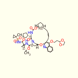 C=C[C@@H]1C[C@]1(NC(=O)[C@@H]1C[C@@H]2CN1C(=O)[C@H](C1CCCC1)NC(=O)O[C@@H]1CCC[C@H]1CCC=CCc1c(nc3ccccc3c1OCCC1OCCO1)O2)C(=O)NS(=O)(=O)C1(C)CC1